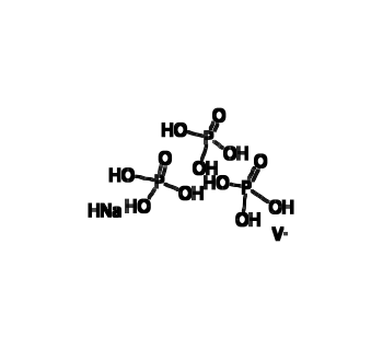 O=P(O)(O)O.O=P(O)(O)O.O=P(O)(O)O.[NaH].[V]